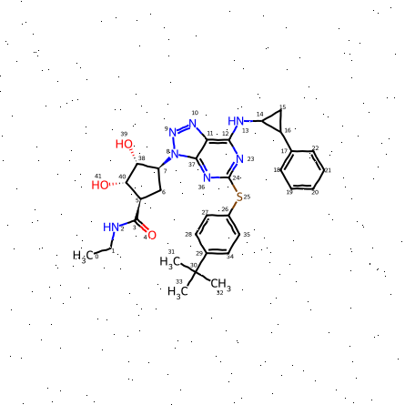 CCNC(=O)[C@@H]1C[C@H](n2nnc3c(NC4CC4c4ccccc4)nc(Sc4ccc(C(C)(C)C)cc4)nc32)[C@@H](O)[C@H]1O